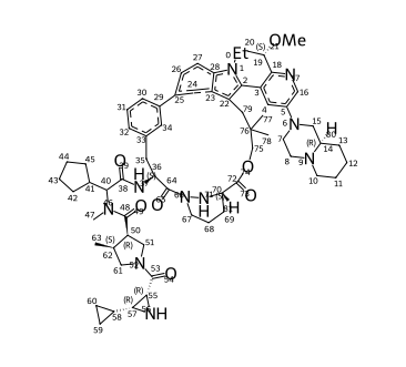 CCn1c(-c2cc(N3CCN4CCCC[C@@H]4C3)cnc2[C@H](C)OC)c2c3cc(ccc31)-c1cccc(c1)C[C@H](NC(=O)C(C1CCCC1)N(C)C(=O)[C@H]1CN(C(=O)[C@@H]3N[C@@H]3C3CC3)C[C@H]1C)C(=O)N1CCC[C@H](N1)C(=O)OCC(C)(C)C2